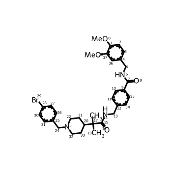 COc1ccc(CNC(=O)c2ccc(CNC(=O)C(C)(C)C3CCN(Cc4ccc(Br)cc4)CC3)cc2)cc1OC